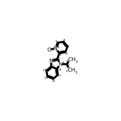 CC(C)n1c(-c2cccc[n+]2[O-])nc2ccccc21